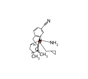 C[C@@H]1CC[C@]2(Cc3ccc(C#N)cc3[C@]23N=C(N)N(CC2CC2)C3=O)C[C@H]1C